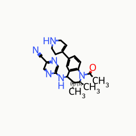 CC(=O)N1c2ccc(C3=CCNCC3)cc2C(Nc2cnc(C#N)cn2)[C@@H](C)[C@@H]1C